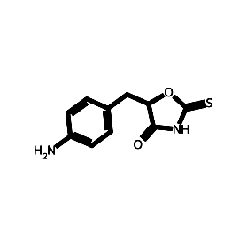 Nc1ccc(CC2OC(=S)NC2=O)cc1